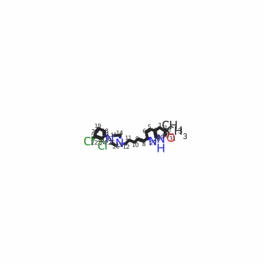 CC1(C)Cc2ccc(/C=C/CCCN3CCN(c4cccc(Cl)c4Cl)CC3)nc2NC1=O